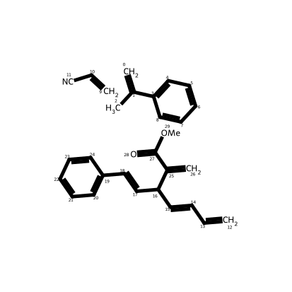 C=C(C)c1ccccc1.C=CC#N.C=CC=CC(C=Cc1ccccc1)C(=C)C(=O)OC